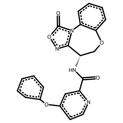 O=C(N[C@H]1COc2ccccc2-n2c1noc2=O)c1cc(Oc2ccccc2)ccn1